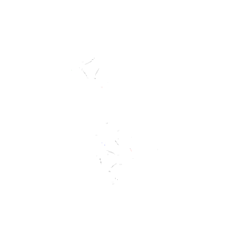 C[C@H](CC(=O)O)CC(=O)c1c(CCCCCOCc2cccc(Cl)c2)n(C)c2ccc(C#N)cc12